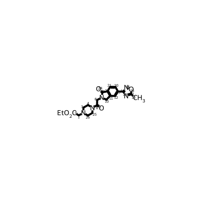 CCOC(=O)CN1CCN(C(=O)CN2Cc3cc(-c4noc(C)n4)ccc3C2=O)CC1